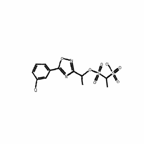 CC(OS(=O)(=O)C(C)S(=O)(=O)Cl)c1noc(-c2cccc(Cl)c2)n1